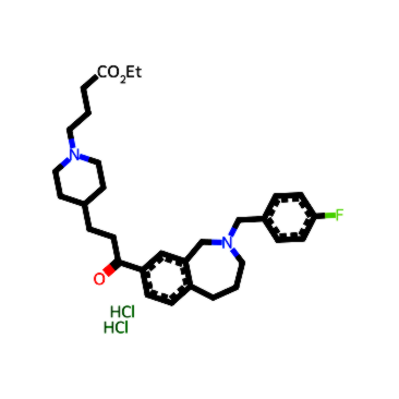 CCOC(=O)CCCN1CCC(CCC(=O)c2ccc3c(c2)CN(Cc2ccc(F)cc2)CCC3)CC1.Cl.Cl